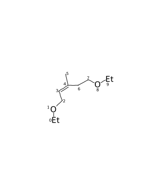 CCOC/C=C(/C)CCOCC